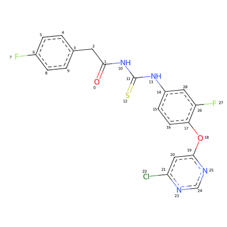 O=C(Cc1ccc(F)cc1)NC(=S)Nc1ccc(Oc2cc(Cl)ncn2)c(F)c1